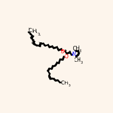 CCCCC/C=C\C/C=C\CCCCCCCCOCC(CCN1C(C)CCC1C)OCCCCCCCC/C=C\C/C=C\CCCCC